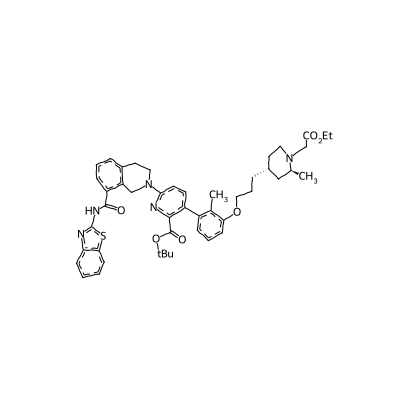 CCOC(=O)CN1CC[C@@H](CCCOc2cccc(-c3ccc(N4CCc5cccc(C(=O)Nc6nc7ccccc7s6)c5C4)nc3C(=O)OC(C)(C)C)c2C)C[C@@H]1C